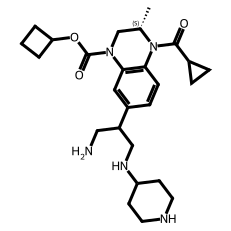 C[C@H]1CN(C(=O)OC2CCC2)c2cc(C(CN)CNC3CCNCC3)ccc2N1C(=O)C1CC1